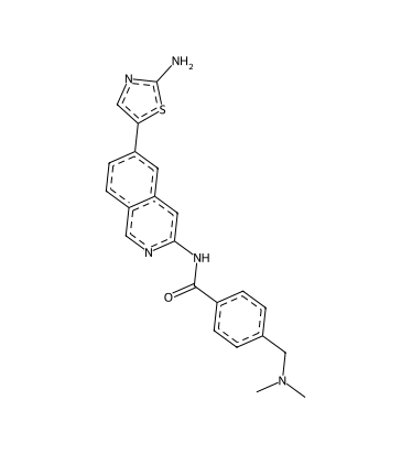 CN(C)Cc1ccc(C(=O)Nc2cc3cc(-c4cnc(N)s4)ccc3cn2)cc1